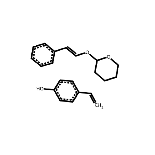 C(=Cc1ccccc1)OC1CCCCO1.C=Cc1ccc(O)cc1